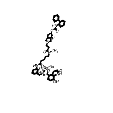 CN(CCCCC(=O)Nc1cccc(CNC[C@H](O[Si](C)(C)C(C)(C)C)c2ccc(O)c3[nH]c(=O)ccc23)c1)C(=O)CCN1CC2C[C@H](OC(=O)Nc3ccccc3-c3ccccc3)C[C@H]2C1